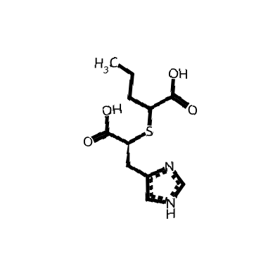 CCCC(S[C@@H](Cc1c[nH]cn1)C(=O)O)C(=O)O